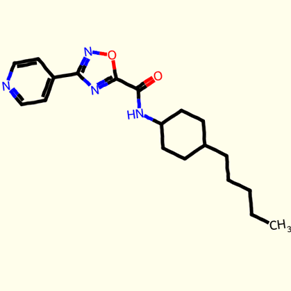 CCCCCC1CCC(NC(=O)c2nc(-c3ccncc3)no2)CC1